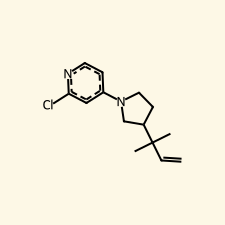 C=CC(C)(C)C1CCN(c2ccnc(Cl)c2)C1